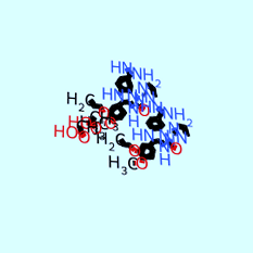 C=CCOc1cc(C(Nc2ccc(C(=N)N)cc2)c2nn(-c3ncccn3)c(=O)[nH]2)ccc1OC.C=CCOc1cc([C@H](Nc2ccc(C(=N)N)cc2)c2nn(-c3ncccn3)c(=O)[nH]2)ccc1OC.CC(=O)O.CC(=O)O